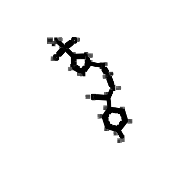 NS(=O)(=O)c1nnc(N=[N+]=NC(=O)c2ccc(I)cc2)s1